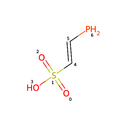 O=S(=O)(O)C=CP